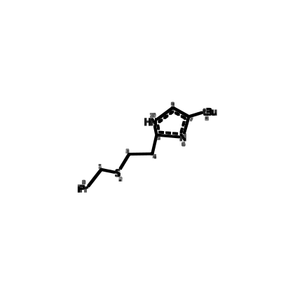 CC(C)CSCCc1nc(C(C)(C)C)c[nH]1